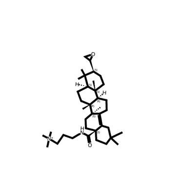 CC1(C)CC[C@]2(C(=O)NCCC[N+](C)(C)C)CC[C@]3(C)C(=C2C1)CC[C@@H]1[C@@]2(C)CC[C@H](C4CO4)C(C)(C)[C@@H]2CC[C@]13C